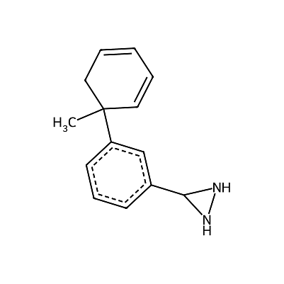 CC1(c2cccc(C3NN3)c2)C=CC=CC1